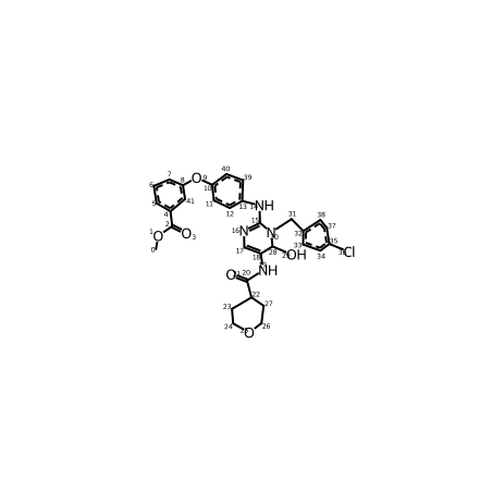 COC(=O)c1cccc(Oc2ccc(NC3=NC=C(NC(=O)C4CCOCC4)C(O)N3Cc3ccc(Cl)cc3)cc2)c1